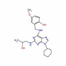 COc1ccc(O)c(CNc2nc(NCC(C)O)nc3c2ncn3C2CCCCC2)c1